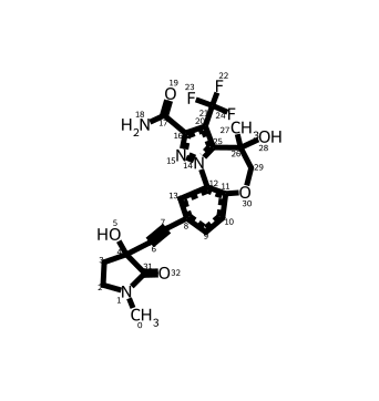 CN1CCC(O)(C#Cc2ccc3c(c2)-n2nc(C(N)=O)c(C(F)(F)F)c2C(C)(O)CO3)C1=O